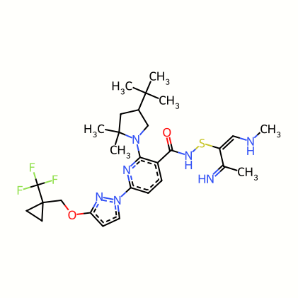 CN/C=C(/SNC(=O)c1ccc(-n2ccc(OCC3(C(F)(F)F)CC3)n2)nc1N1CC(C(C)(C)C)CC1(C)C)C(C)=N